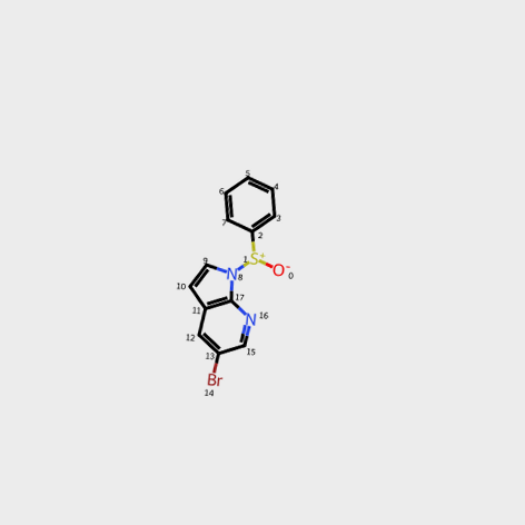 [O-][S+](c1ccccc1)n1ccc2cc(Br)cnc21